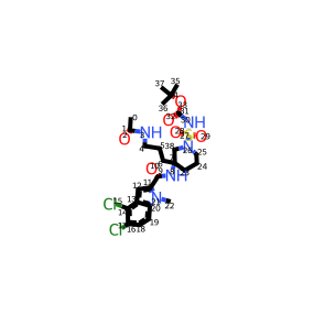 CC(=O)NCCCC1(NC(=O)c2cc3c(Cl)c(Cl)ccc3n2C)CCCN(S(=O)(=O)NC(=O)OC(C)(C)C)C1